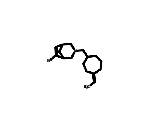 C/C=C1/CCCC(CN2CC3C=C(CC)C(C3)C2)CC1